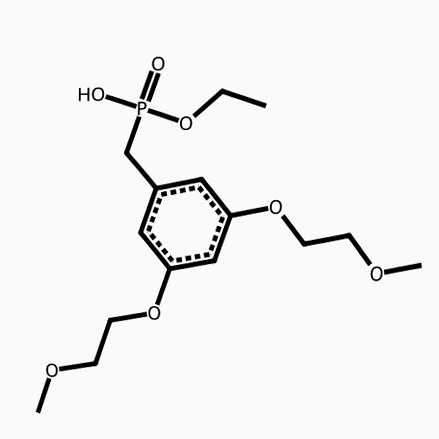 CCOP(=O)(O)Cc1cc(OCCOC)cc(OCCOC)c1